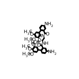 COc1cc(-c2ccc(N)cc2C(=O)NCCNC(=O)c2cc(N)ccc2-c2cc(OC)c(OC)c(OC)c2)cc(OC)c1OC